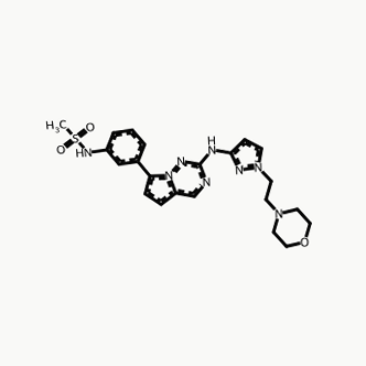 CS(=O)(=O)Nc1cccc(-c2ccc3cnc(Nc4ccn(CCN5CCOCC5)n4)nn23)c1